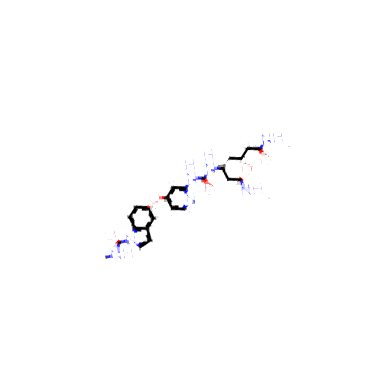 CNC(=O)n1ccc2cc(Oc3ccnc(NC(=O)N[C@@H](CCCC(N)=O)CC(N)=O)c3)ccc21